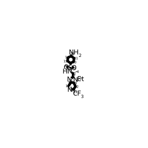 CCn1c([C@@H](C)NS(=O)(=O)c2ccc(N)cc2)nc2cnc(C(F)(F)F)cc21